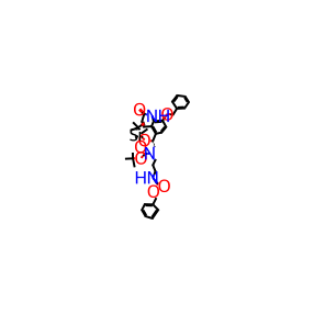 CC(C)(C)OC(=O)N(CCCNC(=O)OCc1ccccc1)C[C@H](O[Si](C)(C)C(C)(C)C)c1ccc(OCc2ccccc2)c2[nH]c(=O)ccc12